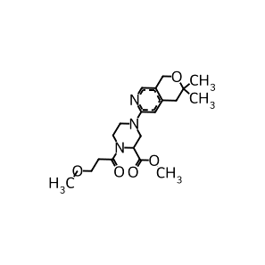 COCCC(=O)N1CCN(c2cc3c(cn2)COC(C)(C)C3)CC1C(=O)OC